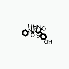 NC(=O)c1c(NC(=O)NC2CCCCC2)sc2cc(O)ccc12